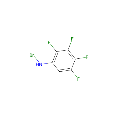 Fc1cc(NBr)c(F)c(F)c1F